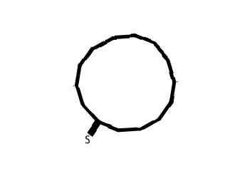 S=C1C[CH]CCCCCC[CH]CCCC1